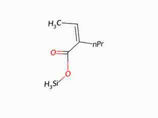 CC=C(CCC)C(=O)O[SiH3]